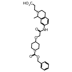 CC1c2cc(NC(=O)COC3CCN(C(=O)OCc4ccccc4)CC3)ccc2CCN1CCC(=O)O